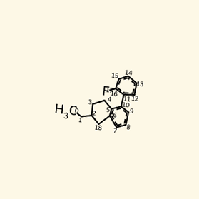 CCC1CCc2c(cccc2-c2ccccc2F)C1